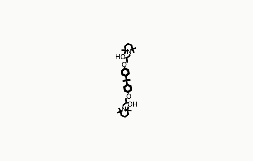 CC(C)(c1ccc(OCC(O)CN2C(C)(C)CCCC2(C)C)cc1)c1ccc(OCC(O)CN2C(C)(C)CCCC2(C)C)cc1